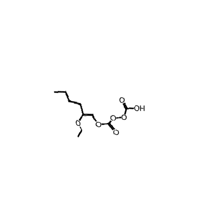 CCCCC(COC(=O)OOC(=O)O)OCC